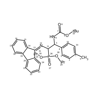 Cc1ccc(C(NC(=O)OC(C)(C)C)C(N=C2c3ccccc3-c3ccccc32)P(=O)(OC(C)C)OC(C)C)cc1